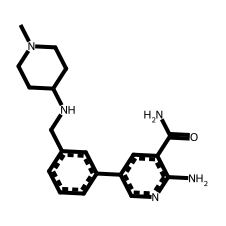 CN1CCC(NCc2cccc(-c3cnc(N)c(C(N)=O)c3)c2)CC1